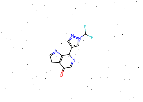 O=C1C=NC(c2cnn(C(F)F)c2)C2=C1CC=N2